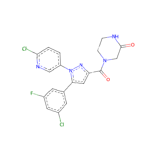 O=C1CN(C(=O)c2cc(-c3cc(F)cc(Cl)c3)n(-c3ccc(Cl)nc3)n2)CCN1